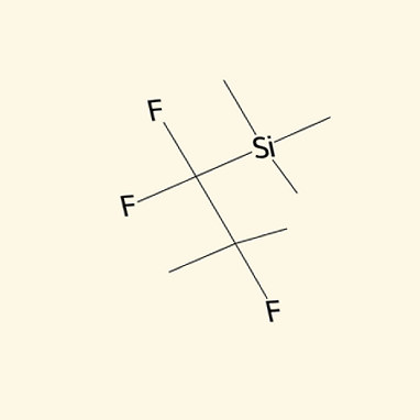 CC(C)(F)C(F)(F)[Si](C)(C)C